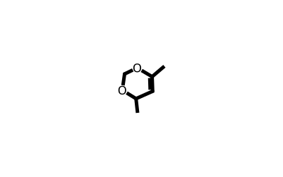 CC1=CC(C)OCO1